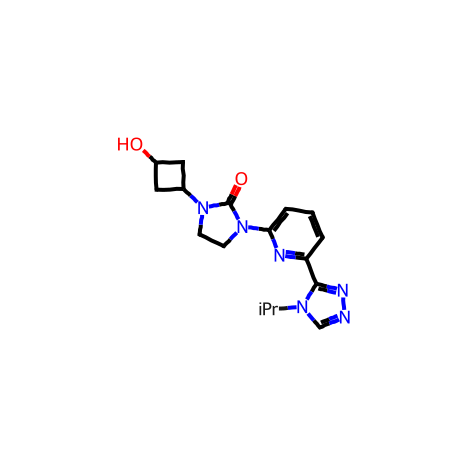 CC(C)n1cnnc1-c1cccc(N2CCN(C3CC(O)C3)C2=O)n1